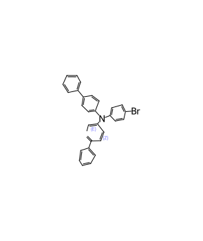 C=C(/C=C\C(=C/C)N(c1ccc(Br)cc1)c1ccc(-c2ccccc2)cc1)c1ccccc1